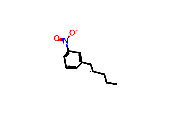 CCC[CH]Cc1cccc([N+](=O)[O-])c1